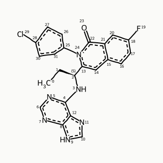 CC[C@H](Nc1ncnc2[nH]cnc12)c1cc2ccc(F)cc2c(=O)n1-c1ccc(Cl)cc1